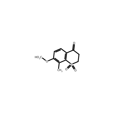 Cc1c(OC(=O)O)ccc2c1S(=O)(=O)CCC2=O